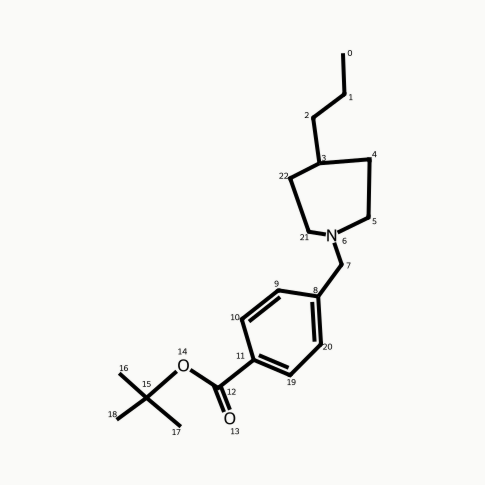 CCCC1CCN(Cc2ccc(C(=O)OC(C)(C)C)cc2)CC1